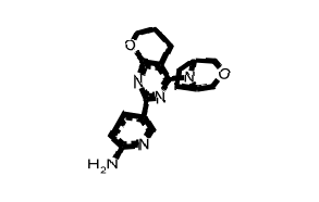 Nc1ccc(-c2nc3c(c(N4C5CCC4COC5)n2)CCCO3)cn1